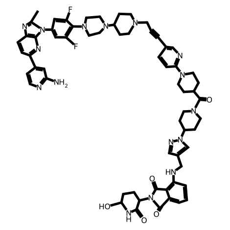 Cc1nc2ccc(-c3ccnc(N)c3)nc2n1-c1cc(F)c(N2CCN(C3CCN(CC#Cc4ccc(N5CCC(C(=O)N6CCC(n7cc(CNc8cccc9c8C(=O)N(C8CCC(O)NC8=O)C9=O)cn7)CC6)CC5)nc4)CC3)CC2)c(F)c1